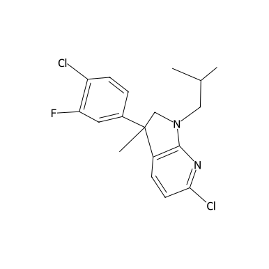 CC(C)CN1CC(C)(c2ccc(Cl)c(F)c2)c2ccc(Cl)nc21